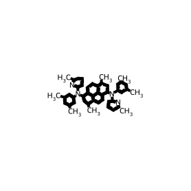 Cc1cc(C)cc(N(c2cccc(C)n2)c2cc(C)c3ccc4c(N(c5cc(C)cc(C)c5)c5cccc(C)n5)cc(C)c5ccc2c3c54)c1